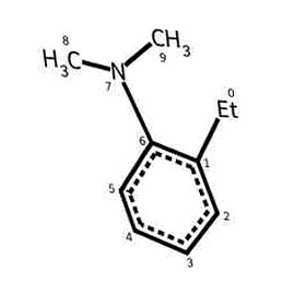 CCc1ccc[c]c1N(C)C